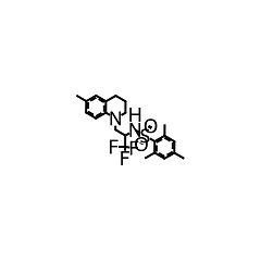 Cc1cc(C)c(S(=O)(=O)NC(CN2CCCc3cc(C)ccc32)C(F)(F)F)c(C)c1